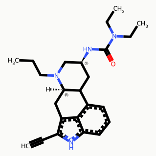 C#Cc1[nH]c2cccc3c2c1C[C@@H]1C3C[C@H](NC(=O)N(CC)CC)CN1CCC